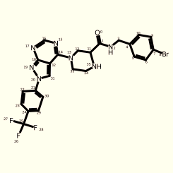 O=C(NCc1ccc(Br)cc1)C1CN(c2ncnc3nn(-c4ccc(C(F)(F)F)cc4)cc23)CCN1